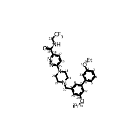 CCOc1cccc(-c2cc(CN3CCN(c4ccc(C(=O)NCC(F)(F)F)nn4)CC3)cc(OC(C)C)c2)c1